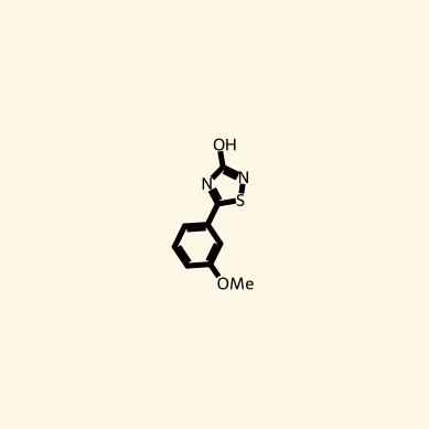 COc1cccc(-c2nc(O)ns2)c1